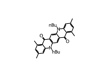 CCCCn1c2cc3c(=O)c4c(C)cc(C)cc4n(CCCC)c3cc2c(=O)c2c(C)cc(C)cc21